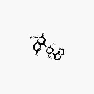 C[C@H]1CN(c2cccn3ccnc23)[C@@H](C)CN1c1cc(=O)n(C)c2ccc(C#N)nc12